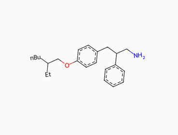 CCCCC(CC)COc1ccc(CC(CN)c2ccccc2)cc1